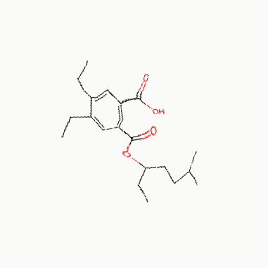 CCc1cc(C(=O)O)c(C(=O)OC(CC)CCC(C)C)cc1CC